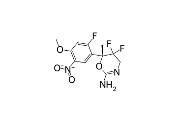 COc1cc(F)c([C@@]2(C)OC(N)=NCC2(F)F)cc1[N+](=O)[O-]